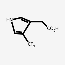 O=C(O)Cc1c[nH]cc1C(F)(F)F